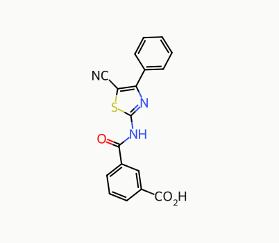 N#Cc1sc(NC(=O)c2cccc(C(=O)O)c2)nc1-c1ccccc1